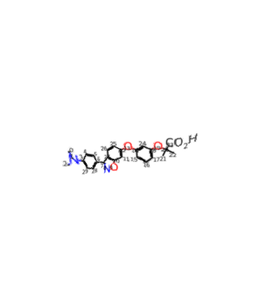 CN(C)c1ccc(-c2noc3cc(Oc4cccc(OC(C)(C)C(=O)O)c4)ccc23)cc1